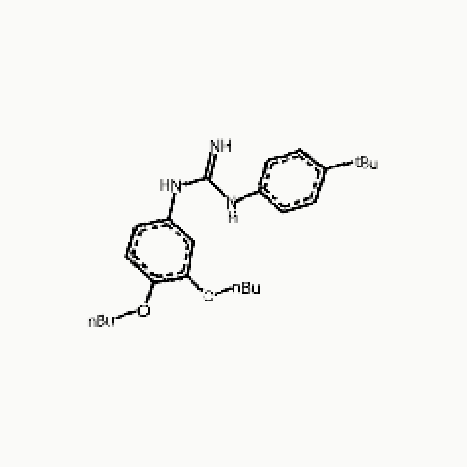 CCCCOc1ccc(NC(=N)Nc2ccc(C(C)(C)C)cc2)cc1OCCCC